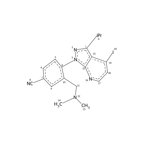 CC(C)c1nn(-c2ccc(C#N)cc2CN(C)C)c2nccc(I)c12